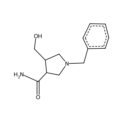 NC(=O)C1CN(Cc2ccccc2)CC1CO